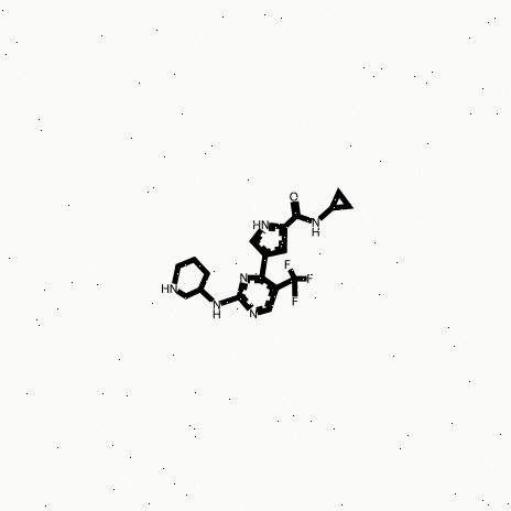 O=C(NC1CC1)c1cc(-c2nc(NC3CCCNC3)ncc2C(F)(F)F)c[nH]1